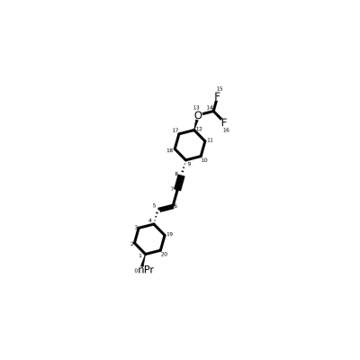 CCC[C@H]1CC[C@H](/C=C/C#C[C@H]2CC[C@H](OC(F)F)CC2)CC1